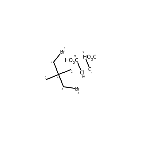 CC(C)(CBr)CBr.O=C(O)Cl.O=C(O)Cl